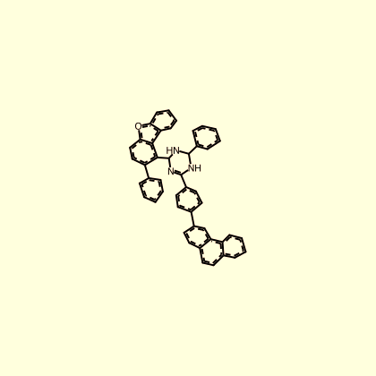 c1ccc(-c2ccc3oc4ccccc4c3c2C2N=C(c3ccc(-c4ccc5ccc6ccccc6c5c4)cc3)NC(c3ccccc3)N2)cc1